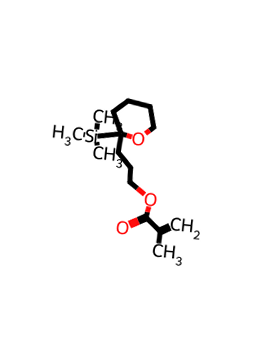 C=C(C)C(=O)OCCCC1([Si](C)(C)C)CCCCO1